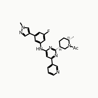 CC(=O)N1C[C@H](c2nc(Nc3cc(F)cc(-c4cnn(C)c4)c3)cc(-c3cccnc3)n2)CC[C@@H]1C